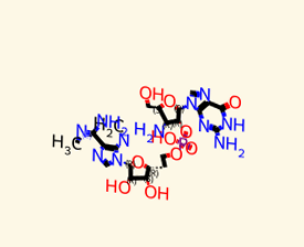 C=Nc1c(/C(N)=N\C)ncn1[C@@H]1O[C@H](CCOP(=O)(O)O[C@@H]2[C@H](N)[C@@H](CO)O[C@H]2n2cnc3c(=O)[nH]c(N)nc32)[C@@H](O)[C@H]1O